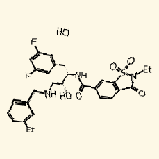 CCc1cccc(CNC[C@@H](O)[C@H](Cc2cc(F)cc(F)c2)NC(=O)c2ccc3c(c2)S(=O)(=O)N(CC)C3=O)c1.Cl